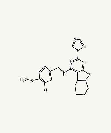 COc1ccc(CNc2nc(-n3cncn3)nc3sc4c(c23)CCCC4)cc1Cl